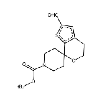 CC(C)(C)OC(=O)N1CCC2(CC1)OCCc1cc(C=O)sc12